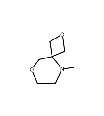 CN1CCOCC12COC2